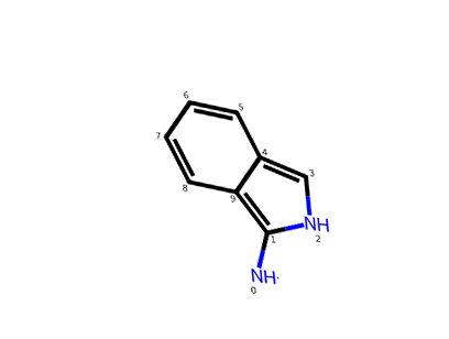 [NH]c1[nH]cc2ccccc12